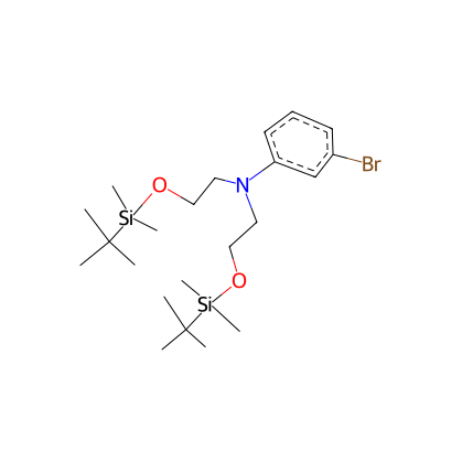 CC(C)(C)[Si](C)(C)OCCN(CCO[Si](C)(C)C(C)(C)C)c1cccc(Br)c1